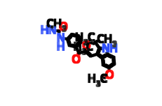 CNC(=O)Nc1ccc2c(c1)C(=O)/C(=C/c1c(C(C)(C)C)[nH]c3ccc(OC)cc13)O2